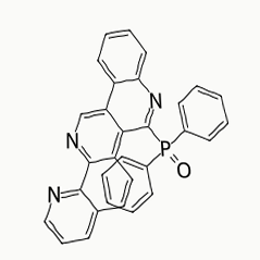 O=P(c1ccccc1)(c1ccccc1)c1nc2ccccc2c2cnc3c(ccc4cccnc43)c12